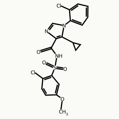 COc1ccc(Cl)c(S(=O)(=O)NC(=O)c2ncn(-c3ccccc3Cl)c2C2CC2)c1